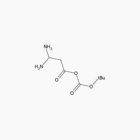 CC(C)(C)OC(=O)OC(=O)CC(N)N